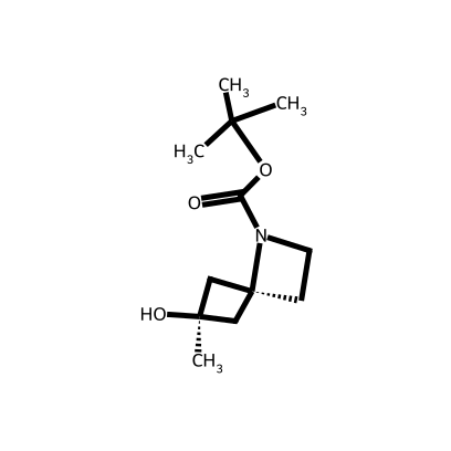 CC(C)(C)OC(=O)N1CC[C@]12C[C@](C)(O)C2